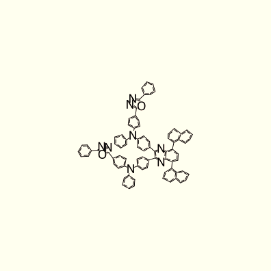 c1ccc(-c2nnc(-c3ccc(N(c4ccccc4)c4ccc(-c5nc6c(-c7cccc8ccccc78)ccc(-c7cccc8ccccc78)c6nc5-c5ccc(N(c6ccccc6)c6ccc(-c7nnc(-c8ccccc8)o7)cc6)cc5)cc4)cc3)o2)cc1